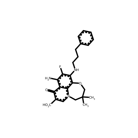 CC1(C)COc2c(NCCCc3ccccc3)c(F)c(N)c3c(=O)c(C(=O)O)cn(c23)C1